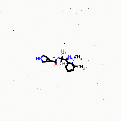 Cc1cccc2c(C(C)(C)NC(=O)C3C4CNCC43)nn(C)c12